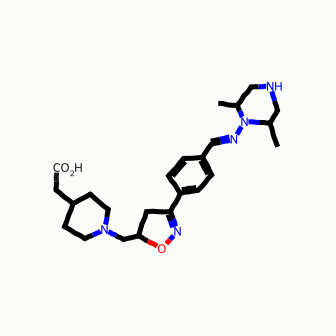 CC1CNCC(C)N1N=Cc1ccc(C2=NOC(CN3CCC(CC(=O)O)CC3)C2)cc1